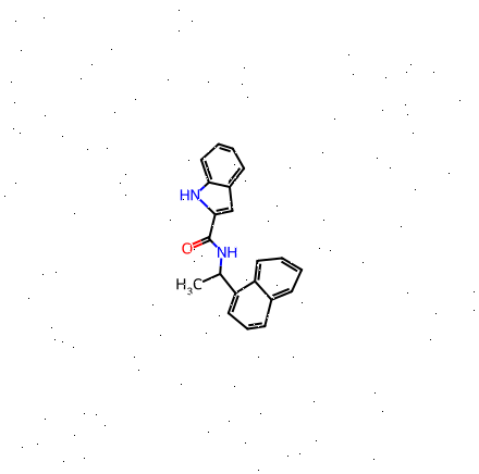 CC(NC(=O)c1cc2ccccc2[nH]1)c1cccc2ccccc12